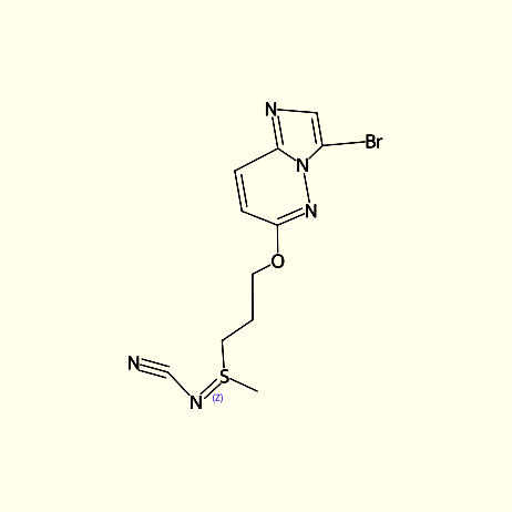 C/S(CCCOc1ccc2ncc(Br)n2n1)=N/C#N